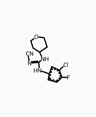 N#CN=C(Nc1ccc(F)c(Cl)c1)NC1CCOCC1